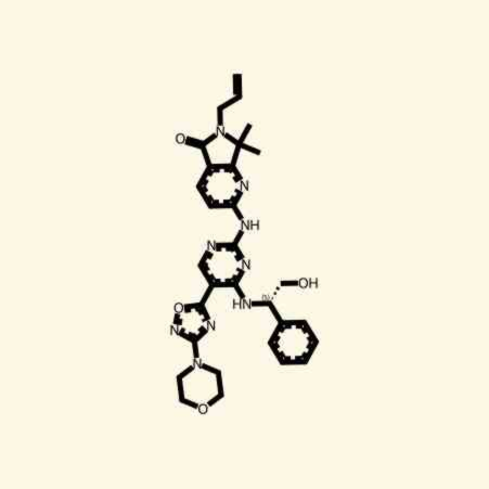 C=CCN1C(=O)c2ccc(Nc3ncc(-c4nc(N5CCOCC5)no4)c(N[C@H](CO)c4ccccc4)n3)nc2C1(C)C